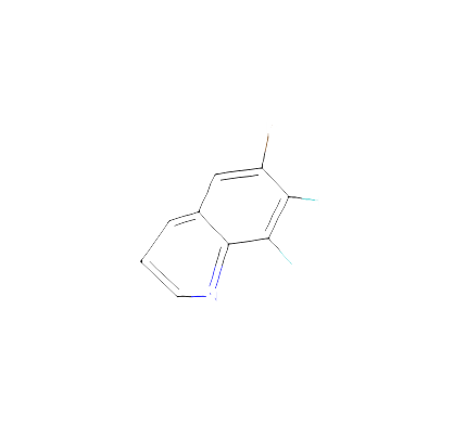 Fc1c(Br)cc2cccnc2c1F